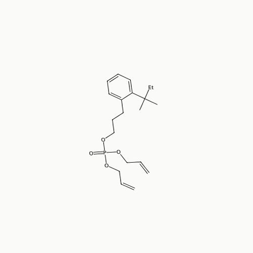 C=CCOP(=O)(OCC=C)OCCCc1ccccc1C(C)(C)CC